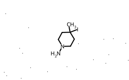 CC1(I)CCN(N)CC1